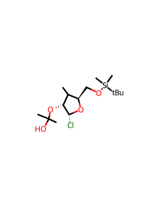 CC1[C@@H](OC(C)(C)O)[C@@H](Cl)O[C@@H]1CO[Si](C)(C)C(C)(C)C